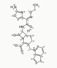 CCO/N=C(/C(=O)NC1C(=O)N2C(C(=O)[O-])=C(C[n+]3cccc4sccc43)CS[C@H]12)c1coc(N)n1